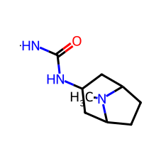 CN1C2CCC1CC(NC([NH])=O)C2